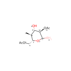 B[C@H]1O[C@H](COC(C)=O)[C@@H](C)[C@H](O)[C@H]1OC(C)=O